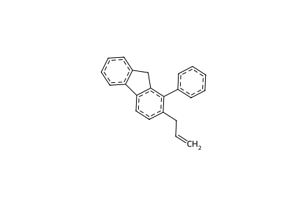 C=CCc1ccc2c(c1-c1ccccc1)Cc1ccccc1-2